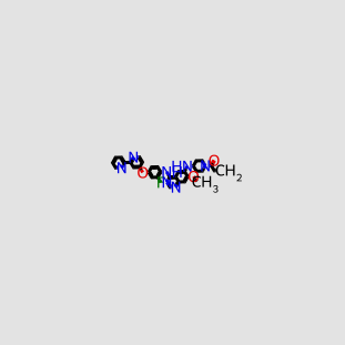 C=CC(=O)N1CCC(Nc2cc3c(Nc4ccc(Oc5ccnc(-c6ccccn6)c5)cc4F)ncnc3cc2OC)CC1